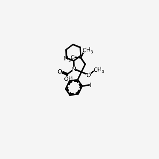 COC(CC(C)C)(c1ccccc1I)N(C(=O)O)C1CCCCC1